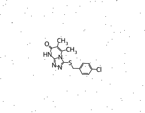 Cc1c(C)n2c(SCc3ccc(Cl)cc3)nnc2[nH]c1=O